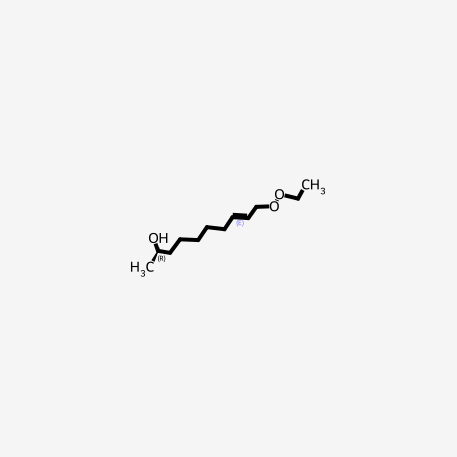 CCOOC/C=C/CCCCC[C@@H](C)O